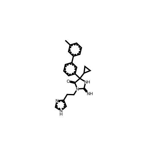 Cc1cccc(-c2cccc(C3(C4CC4)NC(=N)N(CCc4c[nH]cn4)C3=O)c2)c1